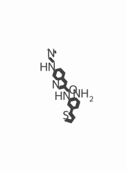 CN(C)CCNc1ccc2cc(C(=O)Nc3cc(-c4cccs4)ccc3N)cnc2c1